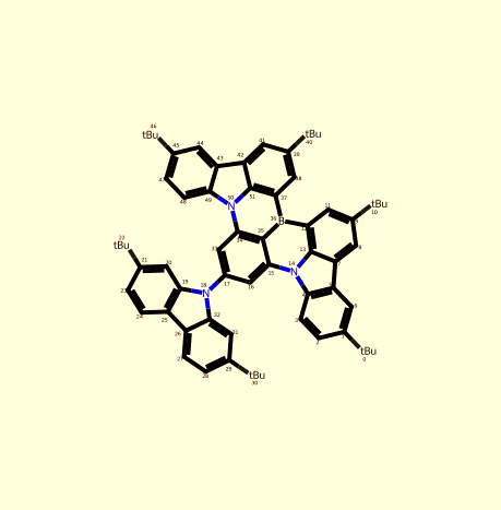 CC(C)(C)c1ccc2c(c1)c1cc(C(C)(C)C)cc3c1n2-c1cc(-n2c4cc(C(C)(C)C)ccc4c4ccc(C(C)(C)C)cc42)cc2c1B3c1cc(C(C)(C)C)cc3c4cc(C(C)(C)C)ccc4n-2c13